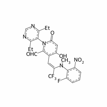 CCc1ncnc(CC)c1-n1c(C=O)c(/C=C(\N(C)c2c(F)cccc2[N+](=O)[O-])C(F)(F)F)c(O)cc1=O